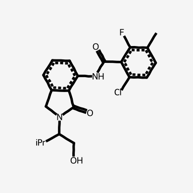 Cc1ccc(Cl)c(C(=O)Nc2cccc3c2C(=O)N(C(CO)C(C)C)C3)c1F